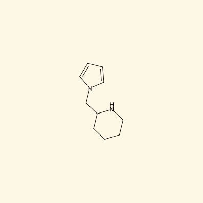 c1ccn(CC2CCCCN2)c1